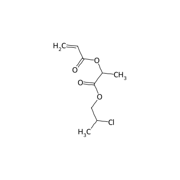 C=CC(=O)OC(C)C(=O)OCC(C)Cl